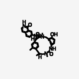 Cc1cc2ccc1[C@@H](C)CN(C)C(=O)Nc1ccc(O)c(c1)CN(C)C(=O)[C@@H]2Nc1ccc2cc[nH]c(=O)c2c1